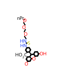 CCCOCCOCCOCCNC(=S)Nc1ccc(-c2c3ccc(=O)cc-3oc3cc(O)ccc23)c(C(=O)O)c1